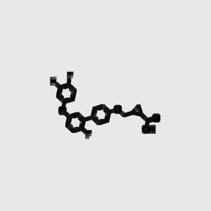 O=C(O)C1CC1COc1ccc(-c2cc(Oc3ccc(F)c(F)c3)ccc2F)cc1